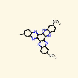 Cc1ccc2nc3c(nc2c1)c1nc2ccc([N+](=O)[O-])cc2nc1c1nc2ccc([N+](=O)[O-])cc2nc31